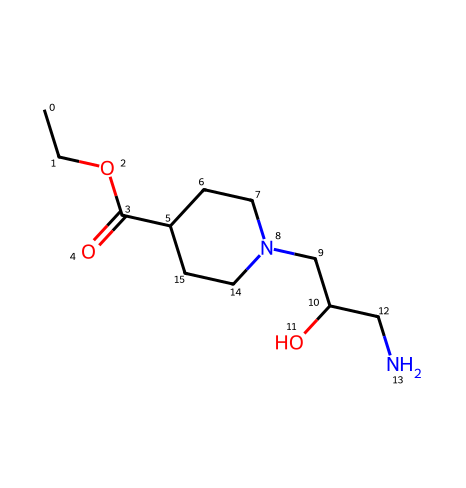 CCOC(=O)C1CCN(CC(O)CN)CC1